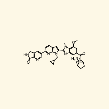 COc1cc(C(=O)N2CC3CCC2C3N)cc2nc(-c3cc4ccc(-c5cnc6c(c5)CNC6=O)nc4n3CC3CC3)n(C)c12